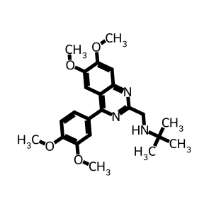 COc1ccc(-c2nc(CNC(C)(C)C)nc3cc(OC)c(OC)cc23)cc1OC